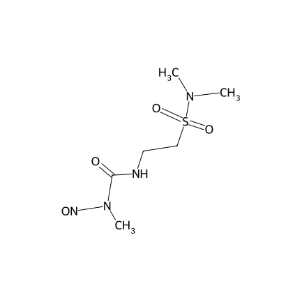 CN(N=O)C(=O)NCCS(=O)(=O)N(C)C